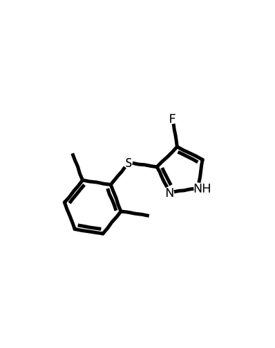 Cc1cccc(C)c1Sc1n[nH]cc1F